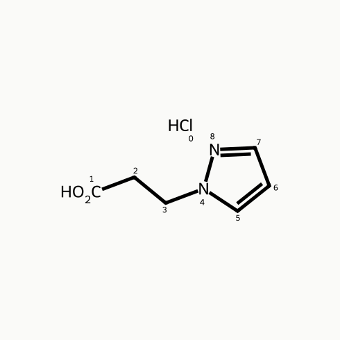 Cl.O=C(O)CCn1cccn1